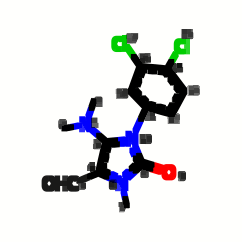 CN(C)c1c(C=O)n(C)c(=O)n1-c1ccc(Cl)c(Cl)c1